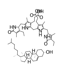 CC(C)CCC[C@@H](C)[C@H]1CC[C@H]2[C@@H]3CC=C4C[C@@H](O)CC[C@]4(C)[C@H]3CC[C@]12C.CCC1=C(C)C(Cc2[nH]c(Cc3[nH]c(CC4NC(=O)C(C)=C4CC)c(C)c3CCC(=O)O)c(CCC(=O)O)c2C)NC1=O